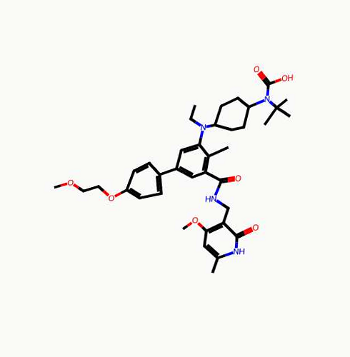 CCN(c1cc(-c2ccc(OCCOC)cc2)cc(C(=O)NCc2c(OC)cc(C)[nH]c2=O)c1C)C1CCC(N(C(=O)O)C(C)(C)C)CC1